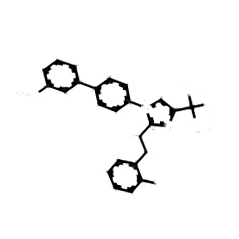 CSc1cccc(-c2ccc(-n3cc(C(C)(C)O)nc3CCc3ccccc3Cl)cc2)c1